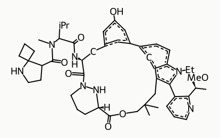 CCn1c(-c2cccnc2[C@H](C)OC)c2c3cc(ccc31)-c1cc(O)cc(c1)C[C@H](NC(=O)C(C(C)C)N(C)C(=O)C1CCNC13CCC3)C(=O)N1CCC[C@H](N1)C(=O)OCC(C)(C)C2